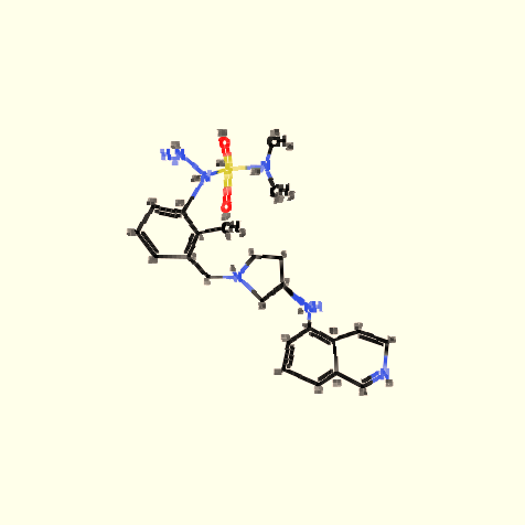 Cc1c(CN2CC[C@@H](Nc3cccc4cnccc34)C2)cccc1N(N)S(=O)(=O)N(C)C